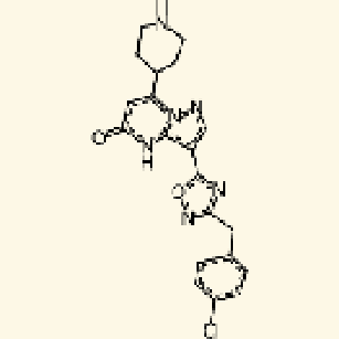 O=c1cc(C2CCNCC2)n2ncc(-c3nc(Cc4ccc(Cl)cc4)no3)c2[nH]1